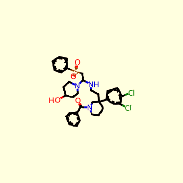 O=C(c1ccccc1)N1CCCC(CCNC(CS(=O)(=O)c2ccccc2)N2CCC(O)CC2)(c2ccc(Cl)c(Cl)c2)C1